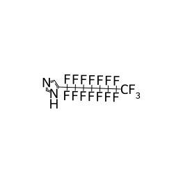 FC(F)(F)C(F)(F)C(F)(F)C(F)(F)C(F)(F)C(F)(F)C(F)(F)C(F)(F)c1cnc[nH]1